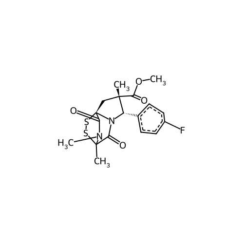 COC(=O)[C@@]1(C)C[C@@]23SSC(C)(C(=O)N2[C@H]1c1ccc(F)cc1)N(C)C3=O